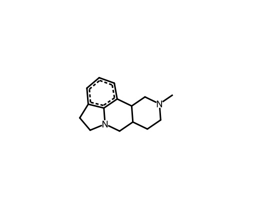 CN1CCC2CN3CCc4cccc(c43)C2C1